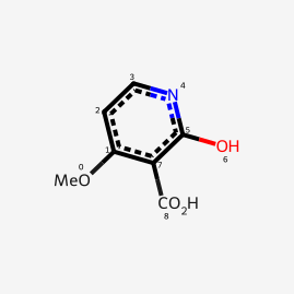 COc1ccnc(O)c1C(=O)O